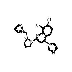 Clc1ccc2c(-n3ccnc3)cc(N3CCC[C@H]3Cn3cccn3)nc2c1Cl